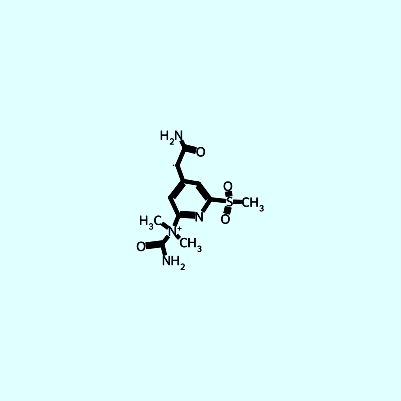 C[N+](C)(C(N)=O)c1cc([CH]C(N)=O)cc(S(C)(=O)=O)n1